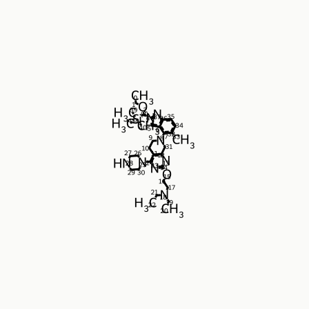 CCO[C@H](n1cc2c(N3CCc4c(nc(OCCN(CC)CC)nc4N4CCNCC4)C3)c(C)ccc2n1)[Si](C)(C)C